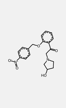 O=C(CN1CCC(O)C1)c1ccccc1OCc1ccc([N+](=O)[O-])cc1